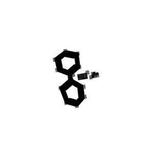 Cl.[Zn].c1ccc(-c2ccccc2)cc1